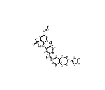 COCc1ccc(Nc2nc(Nc3ccc4c(c3)CC[C@@H](N3CCCC3)CC4)ncc2Cl)c(P(C)(C)=O)c1